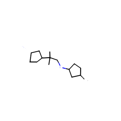 CC(C)(C)C1CCC(NCC(C)(C)C2CC[C@H](N)C2)C1